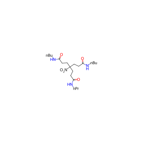 CCCCNC(=O)CCC(CCC(=O)NCCC)(CCC(=O)NCCCC)[N+](=O)[O-]